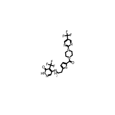 C[C@@H](Cc1ccc(C(=O)N2CCN(c3ncc(C(F)(F)F)cn3)CC2)s1)Nc1cn[nH]c(=O)c1C(F)(F)F